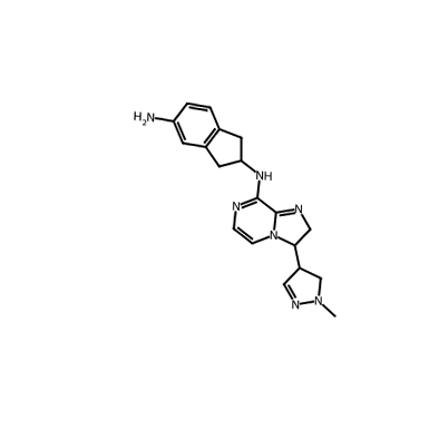 CN1CC(C2CN=C3C(NC4Cc5ccc(N)cc5C4)=NC=CN32)C=N1